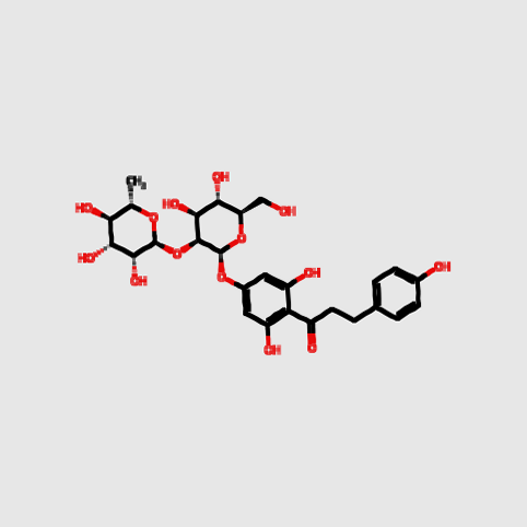 C[C@@H]1O[C@@H](O[C@@H]2[C@H](Oc3cc(O)c(C(=O)CCc4ccc(O)cc4)c(O)c3)O[C@H](CO)[C@@H](O)[C@@H]2O)[C@H](O)[C@H](O)[C@H]1O